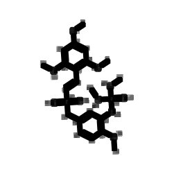 COc1cc(OC)c(C=CS(=O)(=O)Cc2ccc(OC)c(OP(=O)(OC)OC)c2)c(OC)c1